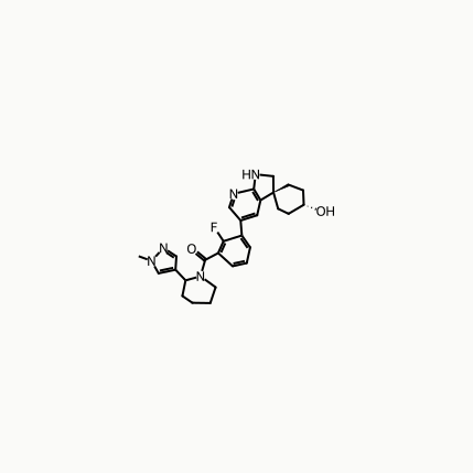 Cn1cc(C2CCCCN2C(=O)c2cccc(-c3cnc4c(c3)[C@]3(CC[C@H](O)CC3)CN4)c2F)cn1